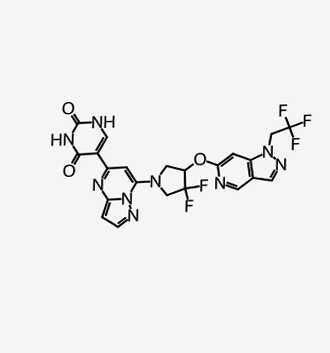 O=c1[nH]cc(-c2cc(N3CC(Oc4cc5c(cn4)cnn5CC(F)(F)F)C(F)(F)C3)n3nccc3n2)c(=O)[nH]1